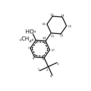 C.CC(C)(C)c1ccc(O)c(C2CCCCC2)c1